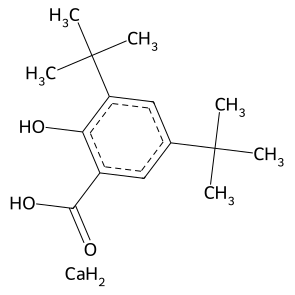 CC(C)(C)c1cc(C(=O)O)c(O)c(C(C)(C)C)c1.[CaH2]